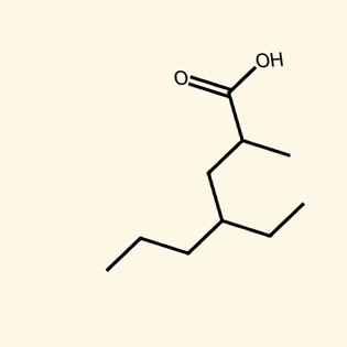 CCCC(CC)CC(C)C(=O)O